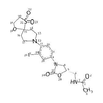 CC(=O)NC[C@H]1CN(c2ccc(N3CCC4(CC3)OCCS4(=O)=O)c(F)c2)C(=O)O1